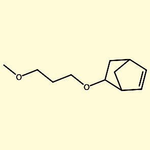 COCCCOC1CC2C=CC1C2